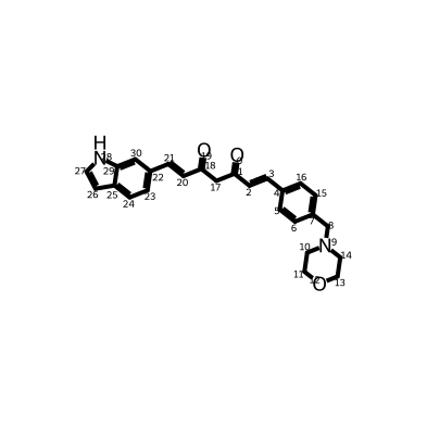 O=C(C=Cc1ccc(CN2CCOCC2)cc1)CC(=O)C=Cc1ccc2cc[nH]c2c1